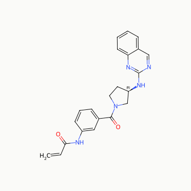 C=CC(=O)Nc1cccc(C(=O)N2CC[C@@H](Nc3ncc4ccccc4n3)C2)c1